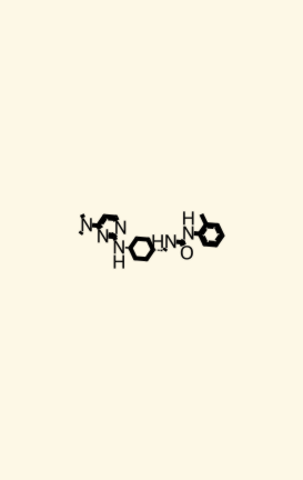 Cc1ccccc1NC(=O)NC[C@H]1CC[C@@H](Nc2nccc(N(C)C)n2)CC1